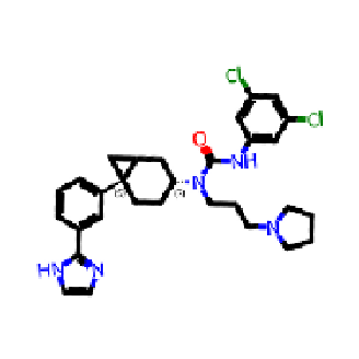 O=C(Nc1cc(Cl)cc(Cl)c1)N(CCCN1CCCC1)[C@@H]1CC[C@]2(c3cccc(-c4ncc[nH]4)c3)CC2C1